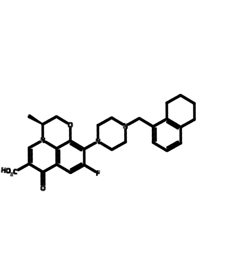 C[C@H]1COc2c(N3CCN(Cc4cccc5c4CCCC5)CC3)c(F)cc3c(=O)c(C(=O)O)cn1c23